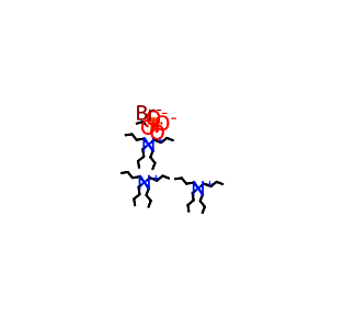 CCCC[N+](CCCC)(CCCC)CCCC.CCCC[N+](CCCC)(CCCC)CCCC.CCCC[N+](CCCC)(CCCC)CCCC.CCOP(=O)([O-])[O-].[Br-]